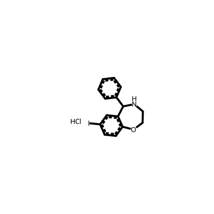 Cl.Ic1ccc2c(c1)C(c1ccccc1)NCCO2